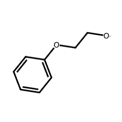 [O]CCOc1ccccc1